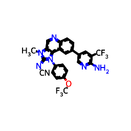 Cn1/c(=N/C#N)n(-c2ccc(OC(F)(F)F)cc2)c2c3cc(-c4cnc(N)c(C(F)(F)F)c4)ccc3ncc21